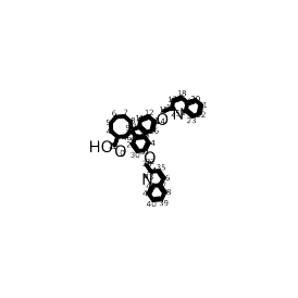 O=C(O)C1CCCCCC(c2ccc(OCc3ccc4ccccc4n3)cc2)(c2ccc(OCc3ccc4ccccc4n3)cc2)C1